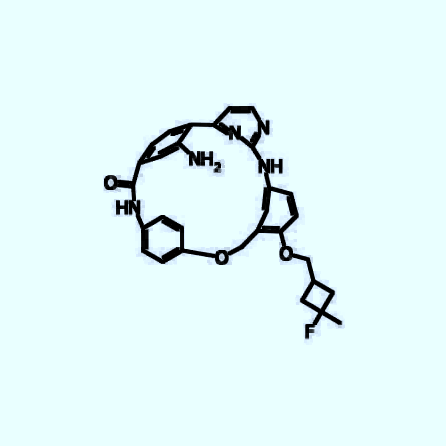 CC1(F)CC(COc2ccc3cc2COc2ccc(cc2)NC(=O)c2ccc(c(N)c2)-c2ccnc(n2)N3)C1